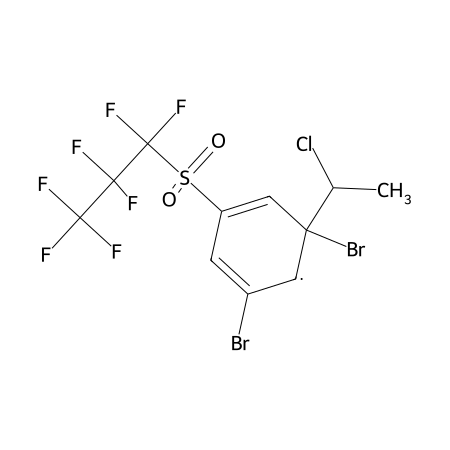 CC(Cl)C1(Br)[CH]C(Br)=CC(S(=O)(=O)C(F)(F)C(F)(F)C(F)(F)F)=C1